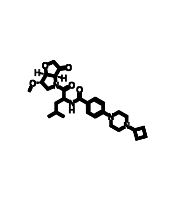 CO[C@H]1CN(C(=O)C(CC(C)C)NC(=O)c2ccc(N3CCN(C4CCC4)CC3)cc2)[C@@H]2C(=O)CO[C@H]12